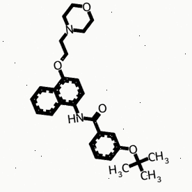 CC(C)(C)Oc1cccc(C(=O)Nc2ccc(OCCN3CCOCC3)c3ccccc23)c1